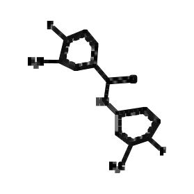 Cc1cc(NC(=O)c2ccc(F)c(N)c2)ccc1F